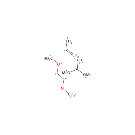 C=CC.COC(C)OC.O=C(O)OCCOC(=O)O